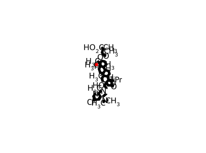 CC(C)C1=C2[C@H]3CC[C@@H]4[C@@]5(C)CCC(OC(=O)CC(C)(C)C(=O)O)C(C)(C)[C@@H]5CC[C@@]4(C)[C@]3(C)CC[C@@]2([C@H](O)CN(CCN(C)C)[C@@H](C)c2ccc(Cl)cn2)CC1=O